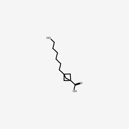 O=C(O)C12CC(CCCCCCO)(C1)C2